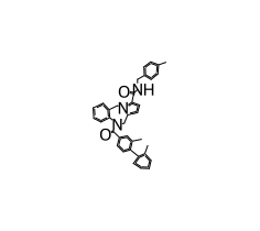 Cc1ccc(CNC(=O)c2ccc3n2Cc2ccccc2N(C(=O)c2ccc(-c4ccccc4C)c(C)c2)C3)cc1